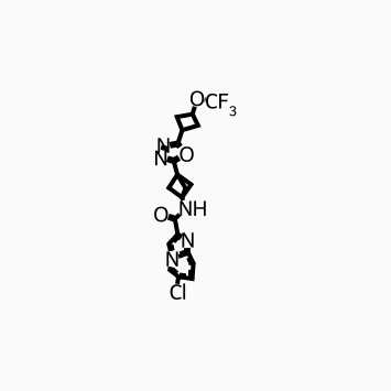 O=C(NC12CC(c3nnc(C4CC(OC(F)(F)F)C4)o3)(C1)C2)c1cn2cc(Cl)ccc2n1